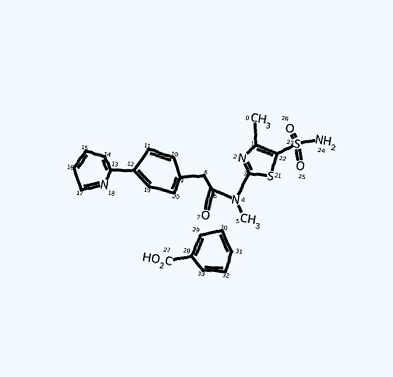 Cc1nc(N(C)C(=O)Cc2ccc(-c3ccccn3)cc2)sc1S(N)(=O)=O.O=C(O)c1ccccc1